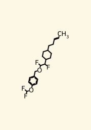 CC=CCCC1CCC(C(F)C(F)OCc2ccc(OC(F)F)cc2)CC1